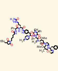 CC[C@H](C)[C@@H]([C@@H](CC(=O)N1CCC[C@H]1[C@H](OC)[C@@H](C)C(=O)N[C@@H](Cc1ccccc1)c1nccs1)OC)N(C)C(=O)[C@@H](NC(=O)[C@H](C(C)C)N(C)C(=O)OC(C(=O)N1CCN(C)CC1)c1ccc(NC(=O)[C@H](CCCNC(N)=O)NC(=O)[C@@H](NC(=O)CCCCCN2C(=O)CC(CC(C)(C)C)C2=O)C(C)C)cc1)C(C)C